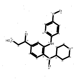 CCOc1ccc(Nc2cc(C(CC)CC(=O)O)ccc2N(CC)C2CCOCC2)nc1